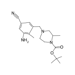 Cc1c(N)cc(C#N)cc1CN1CCN(C(=O)OC(C)(C)C)C(C)C1